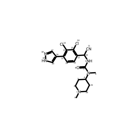 CN1CCC(N(C)C(=O)NC(C#N)c2ccc(-c3cn[nH]c3)c(Cl)c2Cl)CC1